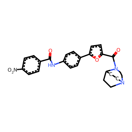 O=C(Nc1ccc(-c2ccc(C(=O)N3CCN4CCC3CC4)o2)cc1)c1ccc([N+](=O)[O-])cc1